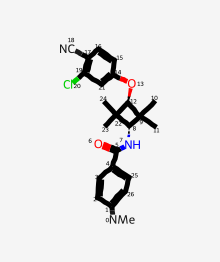 CNc1ccc(C(=O)N[C@H]2C(C)(C)[C@H](Oc3ccc(C#N)c(Cl)c3)C2(C)C)cc1